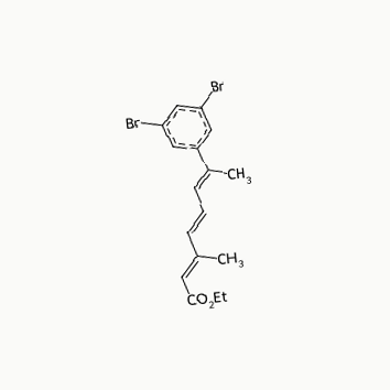 CCOC(=O)/C=C(C)/C=C/C=C(\C)c1cc(Br)cc(Br)c1